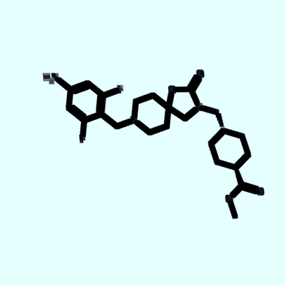 COC(=O)[C@H]1CC[C@H](CN2CC3(CCN(Cc4c(F)cc(N)cc4F)CC3)OC2=O)CC1